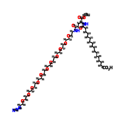 CC(C)(C)OC(=O)[C@H](CCC(=O)NCCOCCOCCOCCOCCOCCOCCOCCOCCOCCOCCOCCN=[N+]=[N-])NC(=O)CCCCCCCCCCCCCCCCC(=O)O